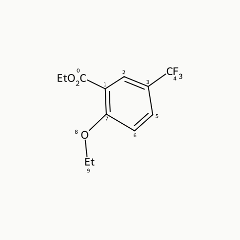 CCOC(=O)c1cc(C(F)(F)F)ccc1OCC